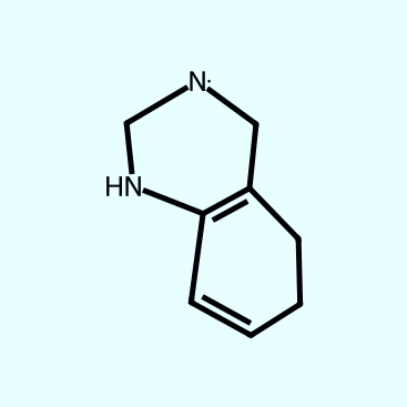 C1=CC2=C(CC1)C[N]CN2